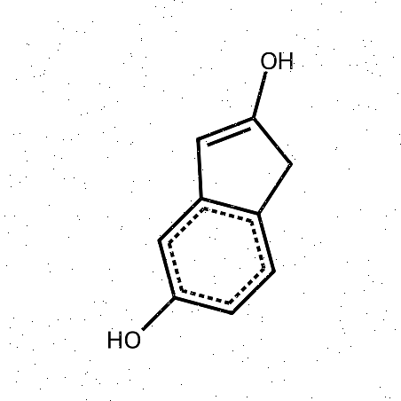 OC1=Cc2cc(O)ccc2C1